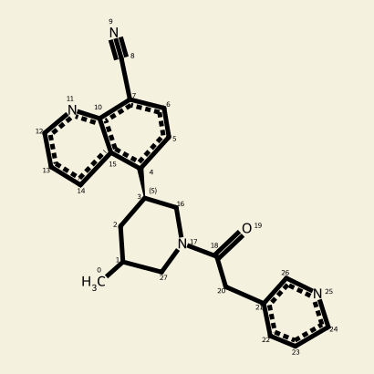 CC1C[C@@H](c2ccc(C#N)c3ncccc23)CN(C(=O)Cc2cccnc2)C1